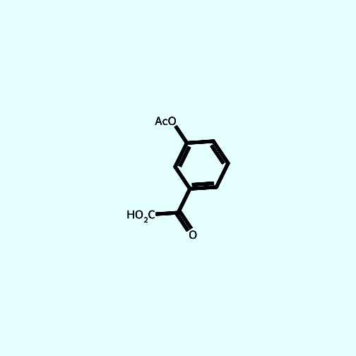 CC(=O)Oc1cccc(C(=O)C(=O)O)c1